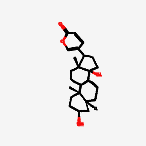 C[C@]12CC[C@H](O)C[C@H]1CCC1C2CC[C@]2(C)C(c3ccc(=O)oc3)CC[C@]12O